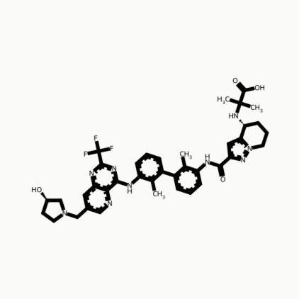 Cc1c(NC(=O)c2cc3n(n2)CCC[C@H]3NC(C)(C)C(=O)O)cccc1-c1cccc(Nc2nc(C(F)(F)F)nc3cc(CN4CC[C@@H](O)C4)cnc23)c1C